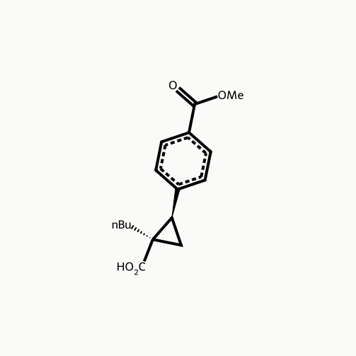 CCCC[C@@]1(C(=O)O)C[C@@H]1c1ccc(C(=O)OC)cc1